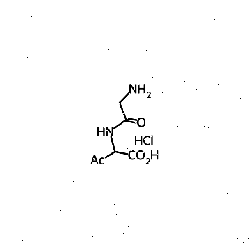 CC(=O)C(NC(=O)CN)C(=O)O.Cl